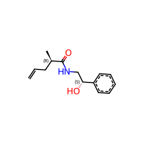 C=CC[C@@H](C)C(=O)NC[C@@H](O)c1ccccc1